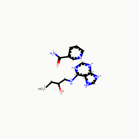 NC(=O)c1cccnc1.O=C(O)CC(O)CNc1ncnc2nc[nH]c12